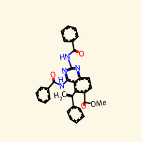 C=C(c1ccccc1)c1c(C(=O)OC)ccc2nc(NC(=O)c3ccccc3)nc(NC(=O)c3ccccc3)c12